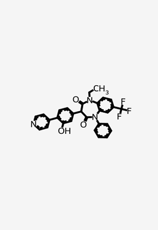 CCN1C(=O)C(c2ccc(-c3ccncc3)c(O)c2)C(=O)N(c2ccccc2)c2cc(C(F)(F)F)ccc21